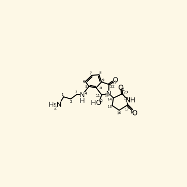 NCCCNc1cccc2c1C(O)N(C1CCC(=O)NC1=O)C2=O